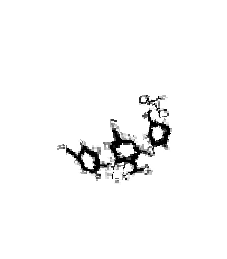 CS(=O)(=O)Cc1cccc(Oc2cc(F)cc(Nc3ccc(I)cc3F)c2C(N)=O)c1